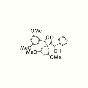 COC1=CC(C(=O)c2cc(OC)cc(OC)c2)(C(=O)C(O)c2ccccc2)CC(OC)=C1